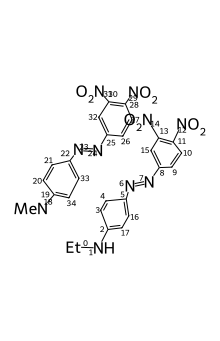 CCNc1ccc(N=Nc2ccc([N+](=O)[O-])c([N+](=O)[O-])c2)cc1.CNc1ccc(N=Nc2ccc([N+](=O)[O-])c([N+](=O)[O-])c2)cc1